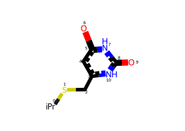 CC(C)SCc1cc(=O)[nH]c(=O)[nH]1